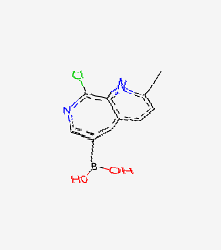 Cc1ccc2c(B(O)O)cnc(Cl)c2n1